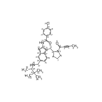 CC#CC(=O)N1CCCC1Cn1c(NC(=O)c2ccc(Cl)cc2)nc2cc(CNC(C)C(C)(C)C)ccc21